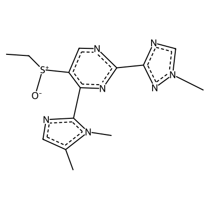 CC[S+]([O-])c1cnc(-c2ncn(C)n2)nc1-c1ncc(C)n1C